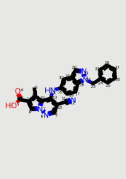 Cc1c(C(=O)O)cn2ncc(C#N)c(Nc3ccc4c(cnn4Cc4ccccc4)c3)c12